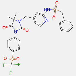 CC1(C)C(=O)N(c2ccc(S(=O)(=O)C(F)(F)F)cc2)C(=O)N1Cc1ccnc(NS(=O)(=O)Cc2ccccc2)c1